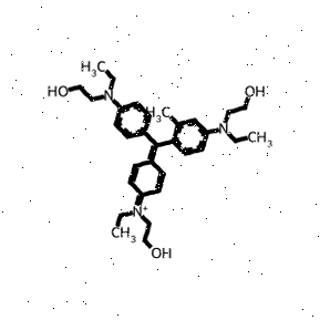 CCN(CCO)c1ccc(C(=C2C=CC(=[N+](CC)CCO)C=C2)c2ccc(N(CC)CCO)cc2C)cc1